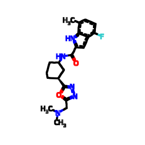 Cc1ccc(F)c2cc(C(=O)N[C@@H]3CCC[C@H](c4nnc(CN(C)C)o4)C3)[nH]c12